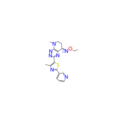 CCO/N=C1\CCN(C)c2nnc(-c3sc(-c4cccnc4)nc3C)nc21